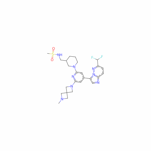 CN1CC2(C1)CN(c1cc(-c3cnc4ccc(C(F)F)nn34)cc(N3CCCC(CNS(C)(=O)=O)C3)n1)C2